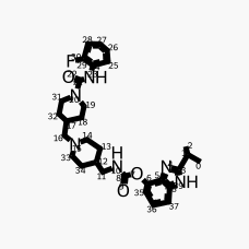 CC(C)c1nc2c(OC(=O)NCC3CCN(CC4CCN(C(=O)Nc5ccccc5F)CC4)CC3)cccc2[nH]1